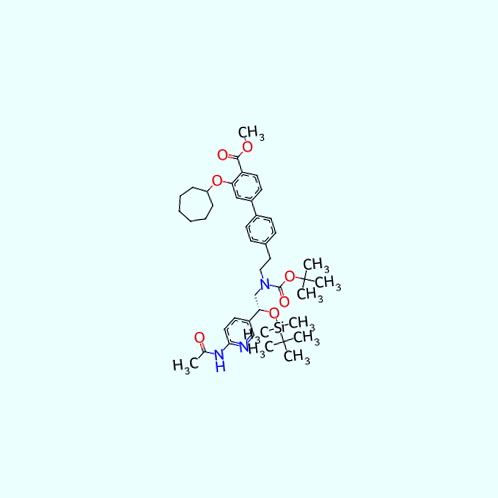 COC(=O)c1ccc(-c2ccc(CCN(C[C@H](O[Si](C)(C)C(C)(C)C)c3ccc(NC(C)=O)nc3)C(=O)OC(C)(C)C)cc2)cc1OC1CCCCCC1